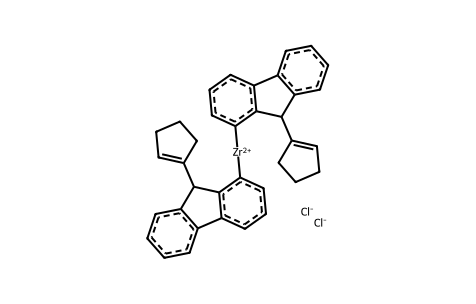 C1=C(C2c3ccccc3-c3ccc[c]([Zr+2][c]4cccc5c4C(C4=CCCC4)c4ccccc4-5)c32)CCC1.[Cl-].[Cl-]